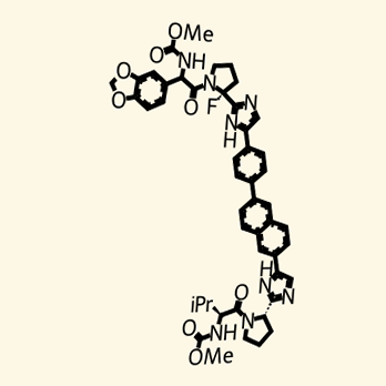 COC(=O)NC(C(=O)N1CCC[C@@]1(F)c1ncc(-c2ccc(-c3ccc4cc(-c5cnc([C@@H]6CCCN6C(=O)[C@@H](NC(=O)OC)C(C)C)[nH]5)ccc4c3)cc2)[nH]1)c1ccc2c(c1)OCO2